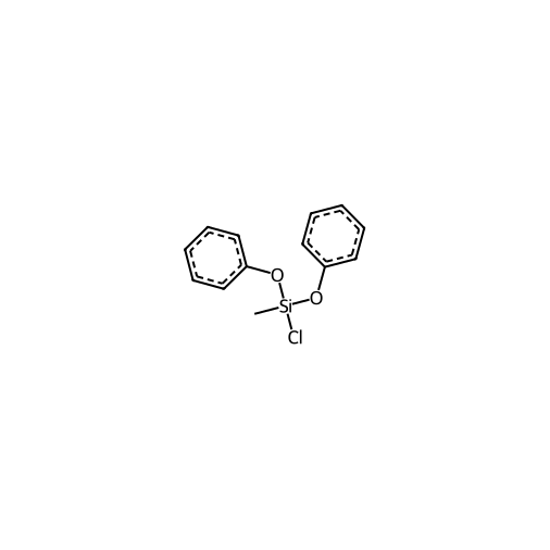 C[Si](Cl)(Oc1ccccc1)Oc1ccccc1